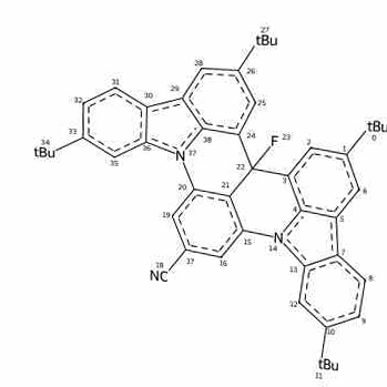 CC(C)(C)c1cc2c3c(c1)c1ccc(C(C)(C)C)cc1n3-c1cc(C#N)cc3c1C2(F)c1cc(C(C)(C)C)cc2c4ccc(C(C)(C)C)cc4n-3c12